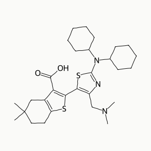 CN(C)Cc1nc(N(C2CCCCC2)C2CCCCC2)sc1-c1sc2c(c1C(=O)O)CC(C)(C)CC2